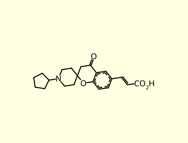 O=C(O)C=Cc1ccc2c(c1)C(=O)CC1(CCN(C3CCCC3)CC1)O2